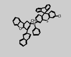 CC1(N(c2ccccc2)c2ccc3c(c2)Sc2cc(Cl)ccc2C32c3ccccc3-c3ccccc32)C=C(c2ccc3ccccc3c2)c2oc3ccccc3c2C1